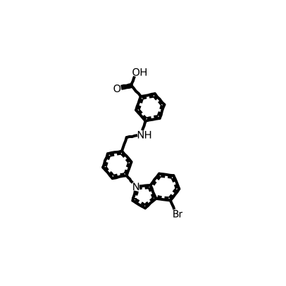 O=C(O)c1cccc(NCc2cccc(-n3ccc4c(Br)cccc43)c2)c1